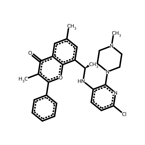 Cc1cc([C@@H](C)Nc2ccc(Cl)nc2N2CCN(C)CC2)c2oc(-c3ccccc3)c(C)c(=O)c2c1